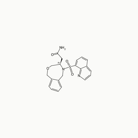 NC(=O)C[C@@H]1COCc2ccccc2CN1S(=O)(=O)c1cccc2cccnc12